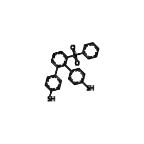 O=S(=O)(c1ccccc1)c1cccc(-c2ccc(S)cc2)c1-c1ccc(S)cc1